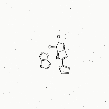 O=c1nc2cc(-c3cccs3)nc-2c1=O.c1cc2sccc2s1